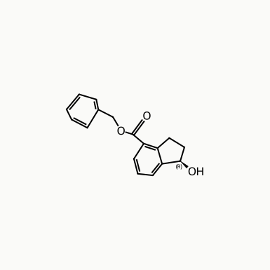 O=C(OCc1ccccc1)c1cccc2c1CC[C@H]2O